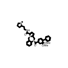 COC1(OC)CC(C(=O)N2Cc3ccc(C(=O)NCCC4CCCN4C)n3Cc3ccccc32)=CC=C1c1ccccc1